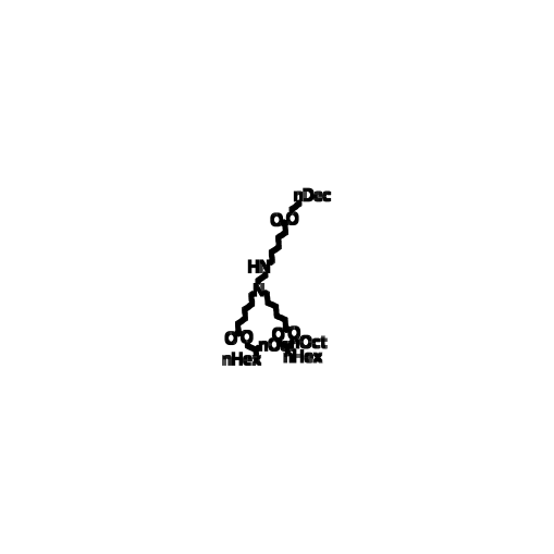 CCCCCCCCCCCCOC(=O)CCCCCNCCN(CCCCCC(=O)OCC(CCCCCC)CCCCCCCC)CCCCCC(=O)OCC(CCCCCC)CCCCCCCC